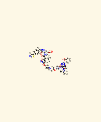 Cc1ncsc1-c1ccc([C@H](C)NC(=O)[C@@H]2C[C@@H](O)CN2C(=O)[C@@H](c2cc(OC3CC(N4CCC(OC5CC(Oc6cc(N7C8CC[C@@H]7CN(c7cc(-c9ccccc9O)nnc7N)C8)ccn6)C5)CC4)C3)no2)C(C)C)cc1